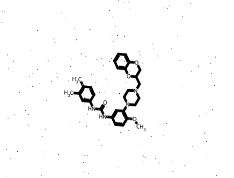 COc1ccc(NC(=O)Nc2ccc(C)c(C)c2)cc1N1CCN(CC2COc3ccccc3O2)CC1